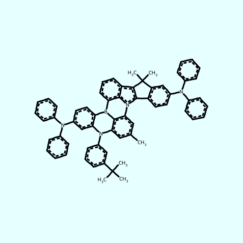 Cc1cc2c3c(c1)-n1c4c(c5cccc(c51)B3c1ccc(N(c3ccccc3)c3ccccc3)cc1N2c1cccc(C(C)(C)C)c1)C(C)(C)c1cc(N(c2ccccc2)c2ccccc2)ccc1-4